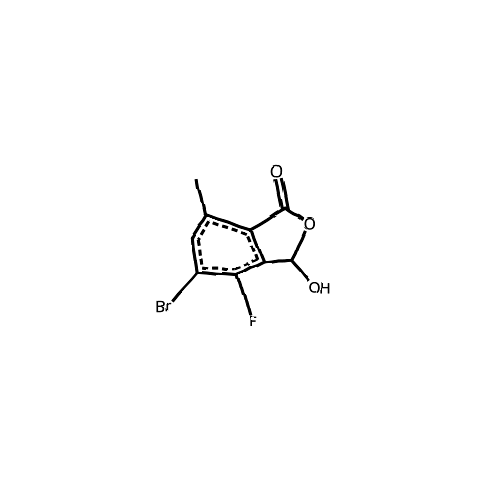 Cc1cc(Br)c(F)c2c1C(=O)OC2O